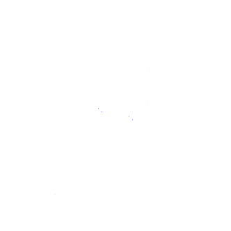 CC=C(c1cccc(OCc2ccccc2)c1)C(C)C(C(C(C)C(=O)c1cccc(OCc2ccccc2)c1)N(C)C)N(C)C